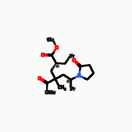 COC(=O)C(C)(C[C@@H](CC(C)C)C(=O)OC(C)(C)C)C[C@H](C(C)C)N1CCCC1=O